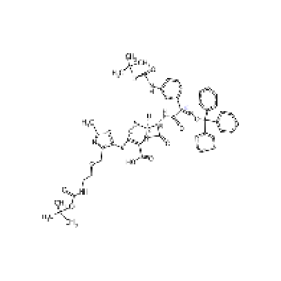 Cc1nc(CSCCNC(=O)OC(C)(C)C)c(SC2=C(C(=O)O)N3C(=O)[C@@H](NC(=O)/C(=N\OC(c4ccccc4)(c4ccccc4)c4ccccc4)c4cccc(NC(=O)OC(C)(C)C)n4)[C@@H]3SC2)s1